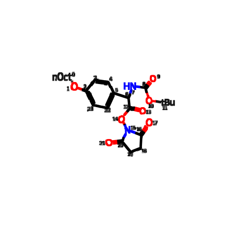 CCCCCCCCOc1ccc(C(NC(=O)OC(C)(C)C)C(=O)ON2C(=O)CCC2=O)cc1